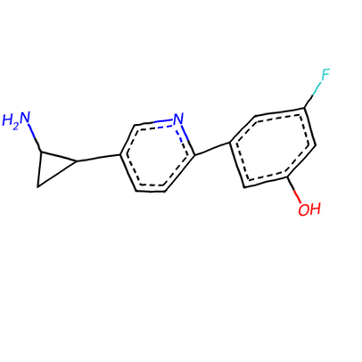 NC1CC1c1ccc(-c2cc(O)cc(F)c2)nc1